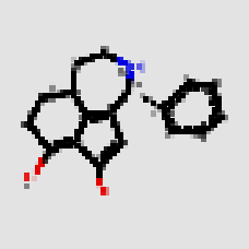 OC1=CC2=C3C1=C(O)CC[C@H]3CCN[C@@H]2c1ccccc1